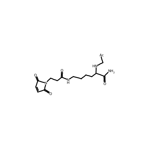 CC(=O)CNC(CCCCNC(=O)CCN1C(=O)C=CC1=O)C(N)=O